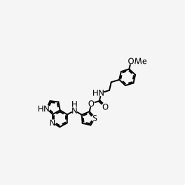 COc1cccc(CCNC(=O)Oc2sccc2Nc2ccnc3[nH]ccc23)c1